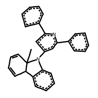 CC12C=CC=CC1c1ccccc1N2c1cc(-c2ccccc2)nc(-c2ccccc2)c1